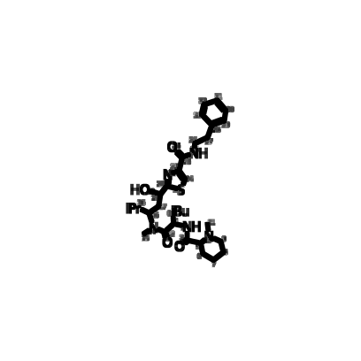 CCC(C)C(NC(=O)C1CCCCN1C)C(=O)N(C)C(CC(O)c1nc(C(=O)NCCc2ccccc2)cs1)C(C)C